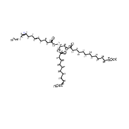 CCCCC/C=C\CCCCCCCC(=O)OC[C@H](COC(=O)CCCCCCCCCCCCCCCCCCCCC)OC(=O)CCCCCCCCCCCCCCCCCC